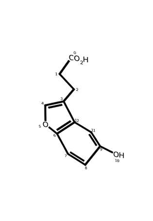 O=C(O)CCc1coc2ccc(O)cc12